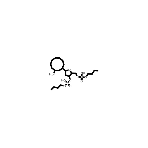 CCCCOP(=O)(O)OCC1OC(C2CCCCCCCC(N)C2)CC1OP(=O)(O)OCCCC